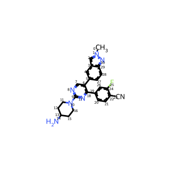 Cn1cc2cc(-c3cnc(N4CCC(N)CC4)nc3-c3ccc(C#N)c(F)c3)ccc2n1